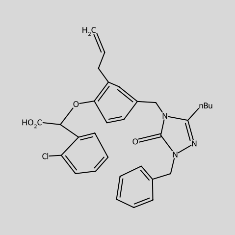 C=CCc1cc(Cn2c(CCCC)nn(Cc3ccccc3)c2=O)ccc1OC(C(=O)O)c1ccccc1Cl